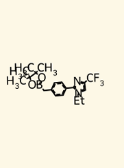 CCn1cc(C(F)(F)F)nc1-c1ccc(CB2OC(C)(C)C(C)(C)O2)cc1